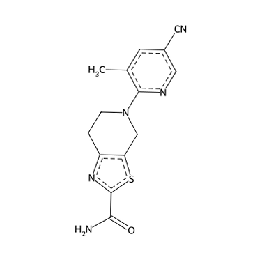 Cc1cc(C#N)cnc1N1CCc2nc(C(N)=O)sc2C1